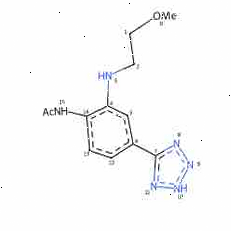 COCCNc1cc(-c2nn[nH]n2)ccc1NC(C)=O